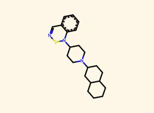 C1=NSN(C2CCN(C3CCC4CCCCC4C3)CC2)c2ccccc21